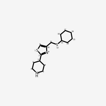 c1sc(C2CCNCC2)nc1CSC1CCCCC1